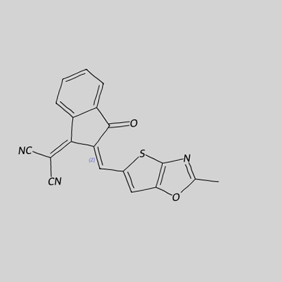 Cc1nc2sc(/C=C3\C(=O)c4ccccc4C3=C(C#N)C#N)cc2o1